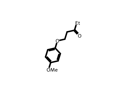 CCC(=O)CCOc1ccc(OC)cc1